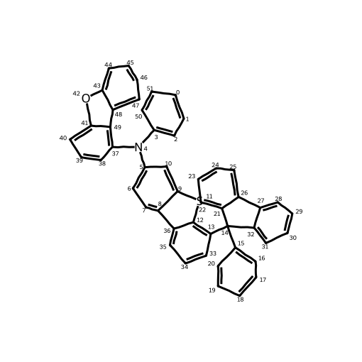 c1ccc(N(c2ccc3c(c2)sc2c(C4(c5ccccc5)c5ccccc5-c5ccccc54)cccc23)c2cccc3oc4ccccc4c23)cc1